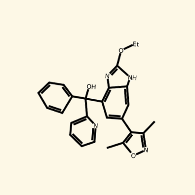 CCOc1nc2c(C(O)(c3ccccc3)c3ccccn3)cc(-c3c(C)noc3C)cc2[nH]1